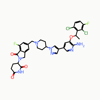 CC(Oc1cc(-c2cnn(C3CCN(Cc4cc(F)c5c(c4)CN(C4CCC(=O)NC4=O)C5=O)CC3)c2)cnc1N)c1c(Cl)ccc(F)c1Cl